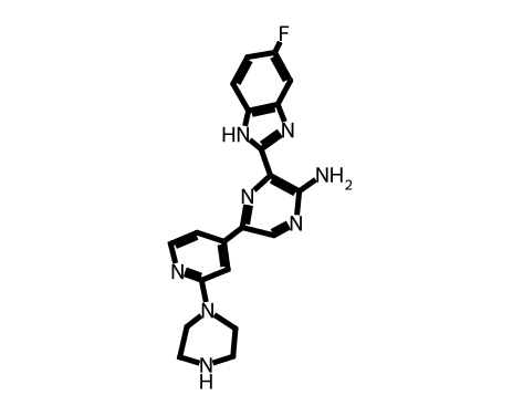 Nc1ncc(-c2ccnc(N3CCNCC3)c2)nc1-c1nc2cc(F)ccc2[nH]1